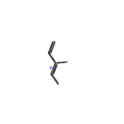 [CH]=C/C(C)=C/C